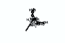 CCCCCCCC[C@H](N)C[SiH2]CC[C@H](N)C(=O)N[C@H](Cc1cccc(-c2ccc(NC(C)=O)cc2)c1)C(=O)NCC[C@@H](NC(=O)CCCC(=O)O)C(=O)O